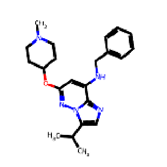 CC(C)c1cnc2c(NCc3ccccc3)cc(OC3CCN(C)CC3)nn12